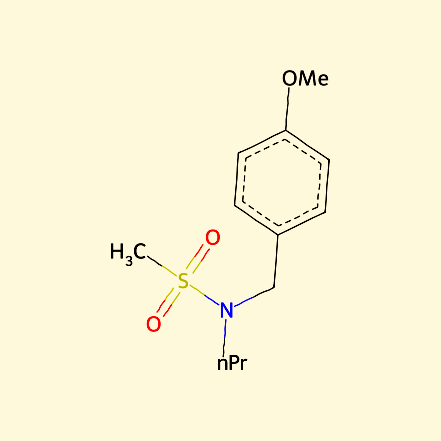 CCCN(Cc1ccc(OC)cc1)S(C)(=O)=O